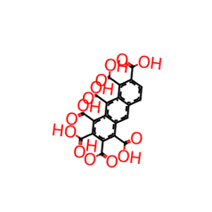 O=C(O)c1ccc2cc3c(C(=O)O)c(C(=O)O)c(C(=O)O)c(C(=O)O)c3c(C(=O)O)c2c1C(=O)O